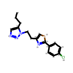 CCCc1cnnn1CCc1csc(-c2ccc(Cl)cc2)n1